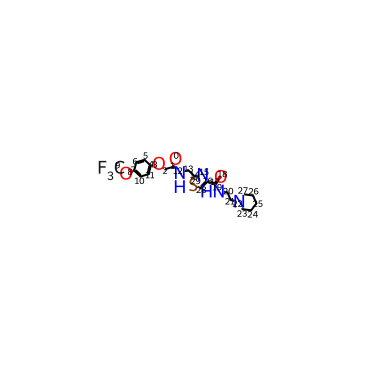 O=C(COc1ccc(OC(F)(F)F)cc1)NCc1nc(C(=O)NCCN2CCCCC2)cs1